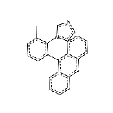 Cc1cccc(-c2c3ccccc3cc3ccccc23)c1-n1ccnc1